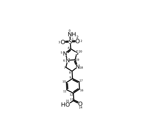 NS(=O)(=O)C1=NN2CC(c3ccc(C(=O)O)cc3)N=C2S1